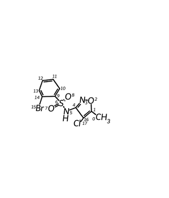 Cc1onc(NS(=O)(=O)c2ccccc2Br)c1Cl